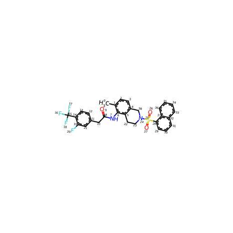 Cc1ccc2c(c1NC(=O)Cc1ccc(C(F)(F)F)c(F)c1)CCN(S(=O)(=O)c1cccc3ccccc13)C2